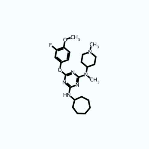 COc1ccc(Oc2nc(NC3CCCCCC3)nc(N(C)C3CCN(C)CC3)n2)cc1F